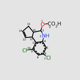 O=C(O)OC1Nc2cc(Cl)cc(Cl)c2C2C=CCC12